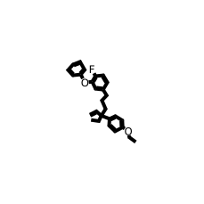 C=CC(CC)(CCCc1ccc(F)c(Oc2ccccc2)c1)c1ccc(OCC)cc1